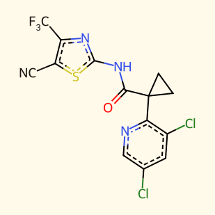 N#Cc1sc(NC(=O)C2(c3ncc(Cl)cc3Cl)CC2)nc1C(F)(F)F